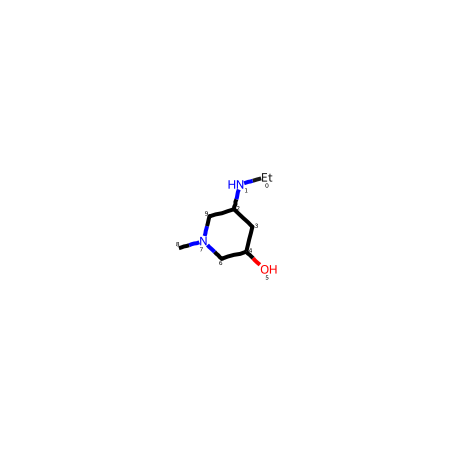 CCNC1CC(O)CN(C)C1